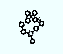 c1ccc(-c2cccc(-c3nc(-c4ccccc4)nc(-c4ccc(-c5cccc6oc7cc(C8(c9ccccc9)c9ccccc9-c9ccccc98)ccc7c56)cc4)n3)c2)cc1